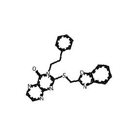 O=c1c2nccnc2nc(SCc2nc3ccccc3o2)n1CCc1ccccc1